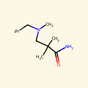 CC(C)CN(C)CC(C)(C)C(N)=O